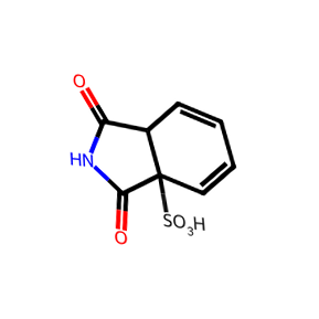 O=C1NC(=O)C2(S(=O)(=O)O)C=CC=CC12